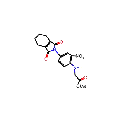 COC(=O)CNc1ccc(N2C(=O)C3=C(CCCC3)C2=O)cc1[N+](=O)[O-]